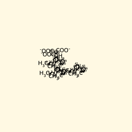 CC(C)=CC[n+]1cccc([C@@H]2CCCN2C)c1.CC(C)=CC[n+]1cccc([C@@H]2CCCN2C)c1.CC(C)=CC[n+]1cccc([C@@H]2CCCN2C)c1.O=C([O-])CC(O)(CC(=O)[O-])C(=O)[O-]